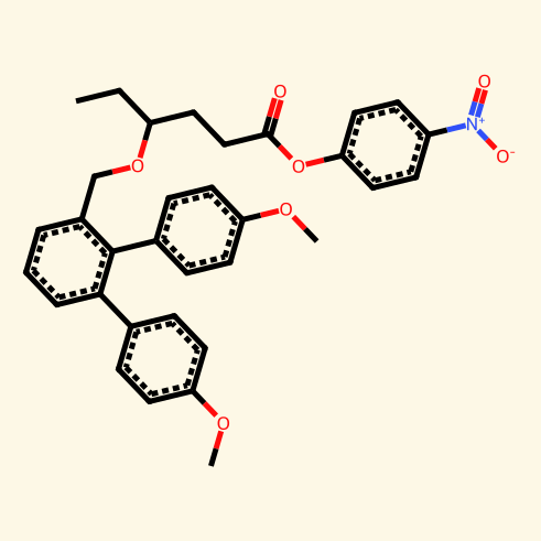 CCC(CCC(=O)Oc1ccc([N+](=O)[O-])cc1)OCc1cccc(-c2ccc(OC)cc2)c1-c1ccc(OC)cc1